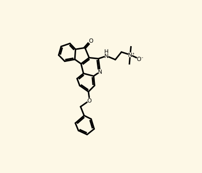 C[N+](C)([O-])CCNc1nc2cc(OCc3ccccc3)ccc2c2c1C(=O)c1ccccc1-2